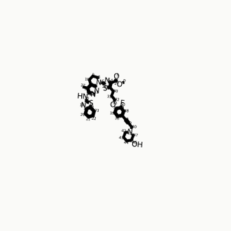 COC(=O)c1nc(N2CCCc3c2nnc(Nc2nc4ccccc4s2)c3C)sc1CCCOc1ccc(C#CCN2CCCC(O)C2)cc1F